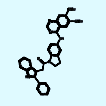 COc1cc2ncnc(Nc3ccc4c(c3)CCN4C(=O)Cc3c(-c4ccccc4)[nH]c4ccccc34)c2cc1OC